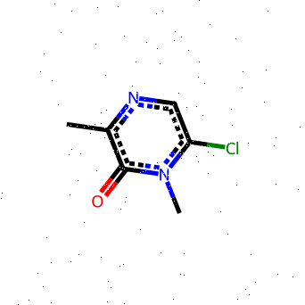 Cc1ncc(Cl)n(C)c1=O